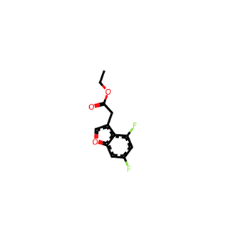 CCOC(=O)Cc1coc2cc(F)cc(F)c12